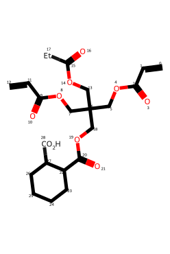 C=CC(=O)OCC(COC(=O)C=C)(COC(=O)CC)COC(=O)C1CCCCC1C(=O)O